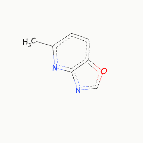 Cc1ccc2ocnc2n1